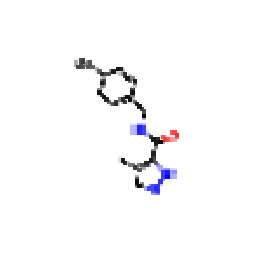 Cc1cn[nH]c1C(=O)NCc1ccc(C(C)(C)C)cc1